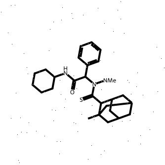 CNN(C(=S)C1C2CC3CC(C2)CC1(C)C3)C(C(=O)NC1CCCCC1)c1ccccc1